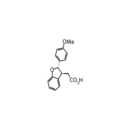 COc1ccc([C@H]2Oc3ccccc3[C@@H]2CC(=O)O)cc1